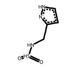 O=[SH](=O)NCc1cc[nH]n1